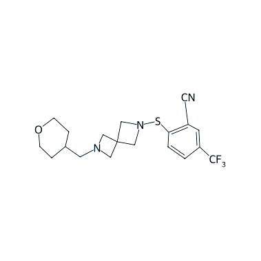 N#Cc1cc(C(F)(F)F)ccc1SN1CC2(CN(CC3CCOCC3)C2)C1